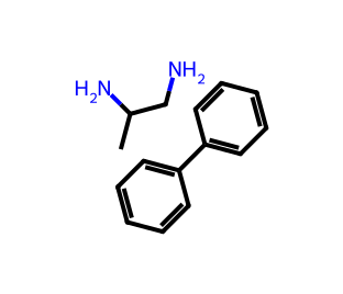 CC(N)CN.c1ccc(-c2ccccc2)cc1